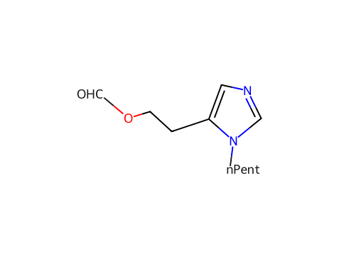 CCCCCn1cncc1CCOC=O